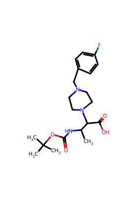 CC(NC(=O)OC(C)(C)C)C(C(=O)O)N1CCN(Cc2ccc(F)cc2)CC1